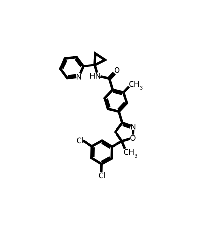 Cc1cc(C2=NOC(C)(c3cc(Cl)cc(Cl)c3)C2)ccc1C(=O)NC1(c2ccccn2)CC1